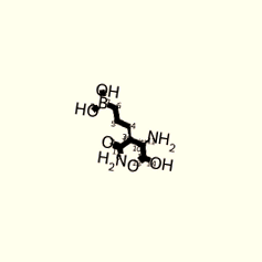 NC(=O)[C@@H](CCCB(O)O)[C@H](N)C(=O)O